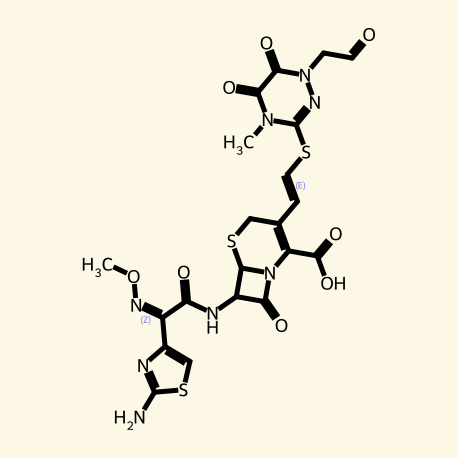 CO/N=C(\C(=O)NC1C(=O)N2C(C(=O)O)=C(/C=C/Sc3nn(CC=O)c(=O)c(=O)n3C)CSC12)c1csc(N)n1